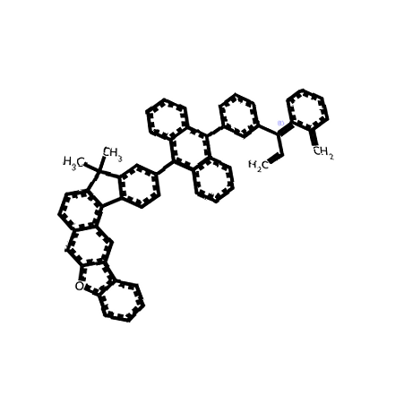 C=C/C(c1cccc(-c2c3ccccc3c(-c3ccc4c(c3)C(C)(C)c3ccc5cc6oc7ccccc7c6cc5c3-4)c3ccccc23)c1)=c1/ccccc1=C